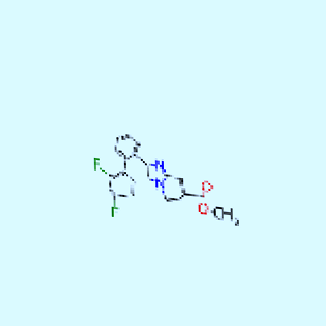 COC(=O)c1ccn2cc(-c3ccccc3-c3ccc(F)cc3F)nc2c1